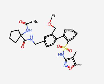 CCCCC(=O)NC1(C(=O)NCc2ccc(-c3ccccc3S(=O)(=O)Nc3noc(C)c3C)c(COCC)c2)CCCC1